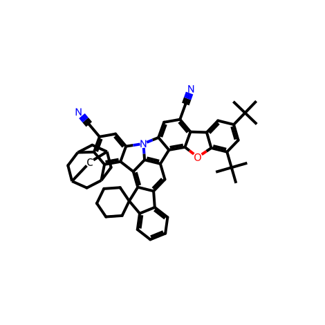 CC(C)(C)c1cc(C(C)(C)C)c2oc3c(c(C#N)cc4c3c3cc5c(c6c7c8c(c(C#N)cc7n4c36)C3CC4CC(C3)CC8C4)C3(CCCCC3)c3ccccc3-5)c2c1